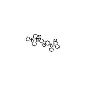 c1ccc(N2c3ccccc3B3c4cc5oc6cc(N(c7ccccc7)c7cncc8ccccc78)ccc6c5cc4Oc4cccc2c43)cc1